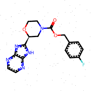 O=C(OCc1ccc(F)cc1)N1CCO[C@H](c2nc3nccnc3[nH]2)C1